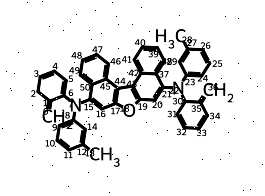 C=C1CC=CC=C1N(c1cccc(C)c1)c1cc2oc3cc(N(c4cccc(C)c4)C4C=CC=CC4=C)c4ccccc4c3c2c2ccccc12